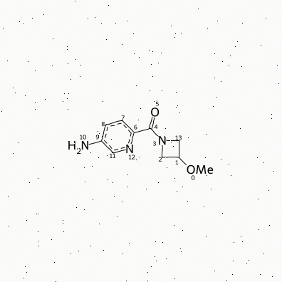 COC1CN(C(=O)c2ccc(N)cn2)C1